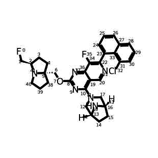 FC[C@H]1CC[C@@]2(COc3nc(N4C[C@H]5CC[C@@H](C4)N5)c4cnc(-c5cccc6cccc(Cl)c56)c(F)c4n3)CCCN12